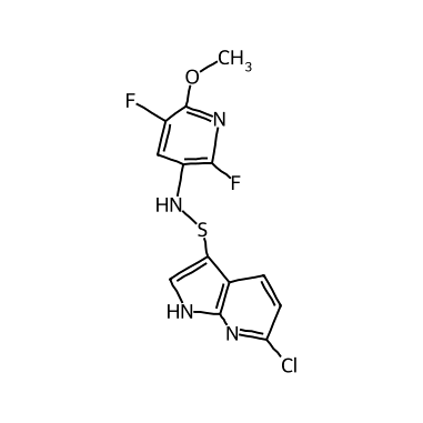 COc1nc(F)c(NSc2c[nH]c3nc(Cl)ccc23)cc1F